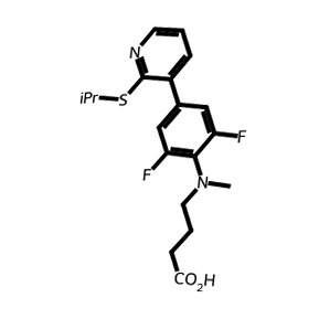 CC(C)Sc1ncccc1-c1cc(F)c(N(C)CCCC(=O)O)c(F)c1